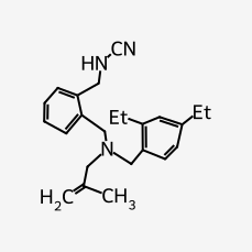 C=C(C)CN(Cc1ccc(CC)cc1CC)Cc1ccccc1CNC#N